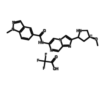 CO[C@@H]1CNC(c2cn3cc(NC(=O)c4ccc5c(cnn5C)c4)ncc3n2)C1.O=C(O)C(F)(F)F